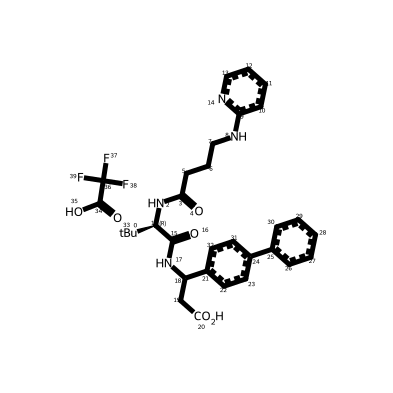 CC(C)(C)[C@@H](NC(=O)CCCNc1ccccn1)C(=O)NC(CC(=O)O)c1ccc(-c2ccccc2)cc1.O=C(O)C(F)(F)F